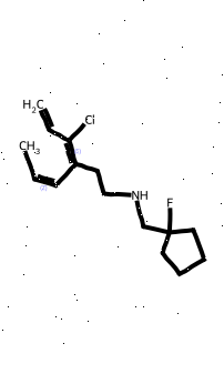 C=C/C(Cl)=C(\C=C/C)CCNCC1(F)CCCC1